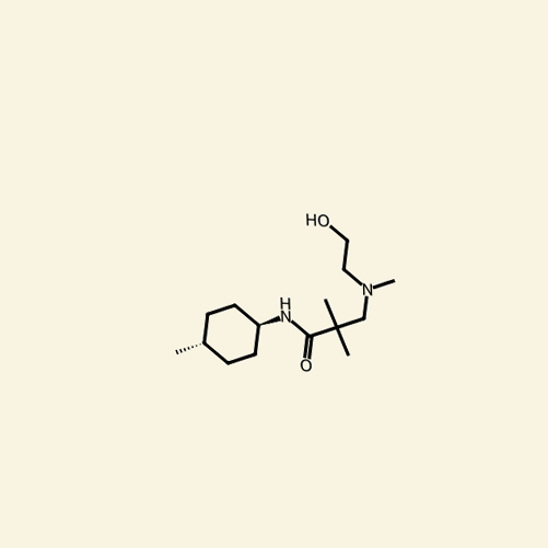 CN(CCO)CC(C)(C)C(=O)N[C@H]1CC[C@H](C)CC1